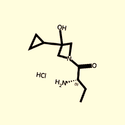 CC[C@H](N)C(=O)N1CC(O)(C2CC2)C1.Cl